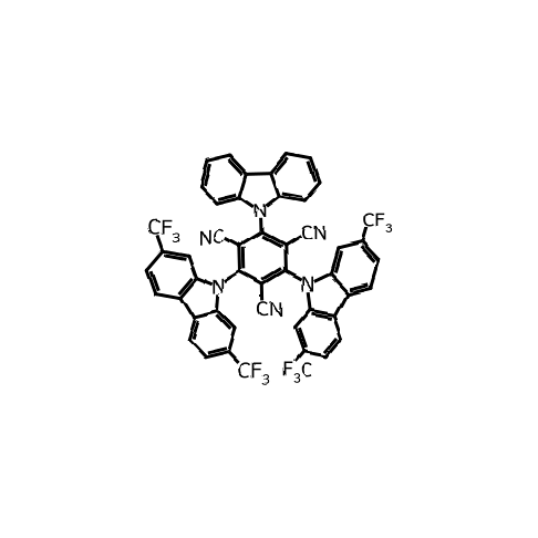 N#Cc1c(-n2c3ccccc3c3ccccc32)c(C#N)c(-n2c3cc(C(F)(F)F)ccc3c3ccc(C(F)(F)F)cc32)c(C#N)c1-n1c2cc(C(F)(F)F)ccc2c2ccc(C(F)(F)F)cc21